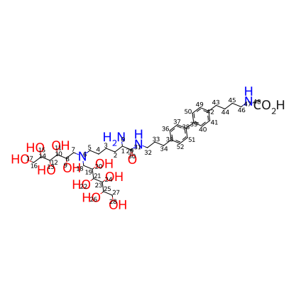 NC(CCCCN(CC(O)C(O)C(O)C(O)CO)CC(O)C(O)C(O)C(O)CO)C(=O)NCCCc1ccc(-c2ccc(CCCCNC(=O)O)cc2)cc1